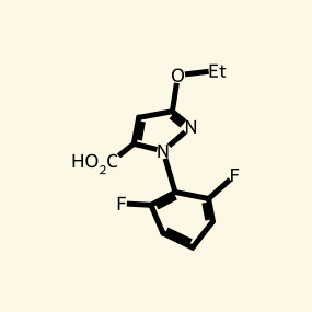 CCOc1cc(C(=O)O)n(-c2c(F)cccc2F)n1